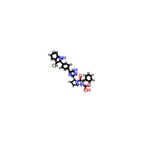 O=C(O)N[C@@H](C(=O)N1CCC[C@H]1c1nc(-c2ccc(-c3[nH]c4ccccc4c3Cl)cc2)c[nH]1)c1ccccc1